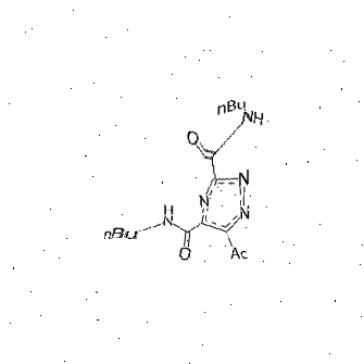 CCCCNC(=O)c1nnc(C(C)=O)c(C(=O)NCCCC)n1